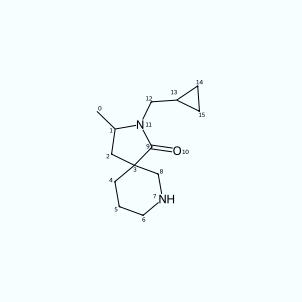 CC1CC2(CCCNC2)C(=O)N1CC1CC1